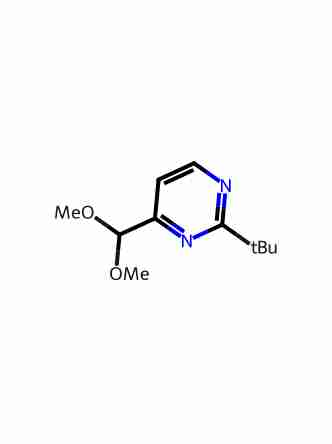 COC(OC)c1ccnc(C(C)(C)C)n1